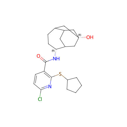 O=C(N[C@@H]1CCC2C[C@@]3(O)CC2CC1C3)c1ccc(Cl)nc1SC1CCCC1